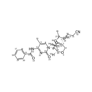 [2H]C[C@@]12CO[C@@H]([C@H](n3cc(C)c(NC(=O)c4ccccc4)nc3=O)O1)[C@@H]2OP(C)OCCC#N